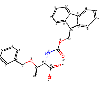 C[C@@H](OCc1ccccc1)[C@H](NC(=O)OCC1c2ccccc2-c2ccccc21)C(=O)O